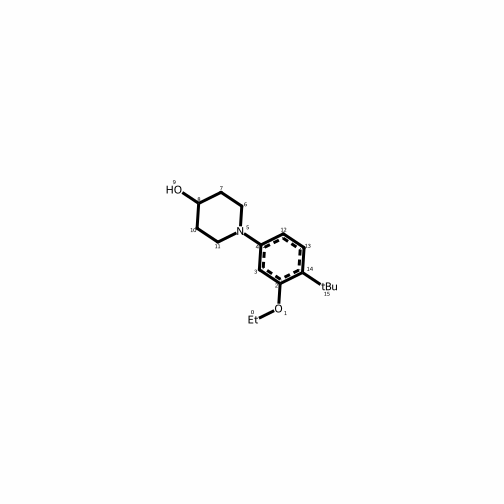 CCOc1cc(N2CCC(O)CC2)ccc1C(C)(C)C